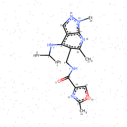 CCCC(CCC)Nc1c(CNC(=O)c2coc(C)n2)c(C)nc2c1cnn2CC